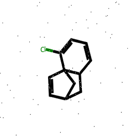 ClC1=CC=CC2CC3C=CC12C3